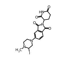 CN1CCN(c2ccc3c(c2)C(=O)N(C2CCC(=O)NC2=O)C3=O)CC1I